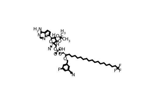 CC1(C)O[C@H]2[C@H](c3ccc4c(N)ncnn34)O[C@](C#N)(COP(=O)(O)OC[C@@H](CCCCCCCCCCCCCCCCCC(F)(F)F)OCc3cc(F)cc(C#N)c3)[C@H]2O1